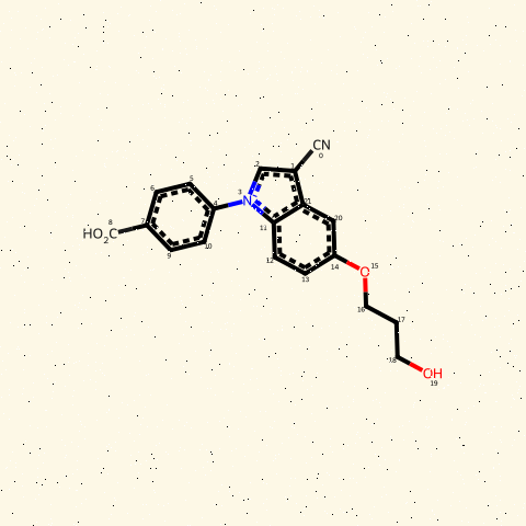 N#Cc1cn(-c2ccc(C(=O)O)cc2)c2ccc(OCCCO)cc12